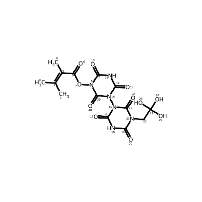 CC(C)=C(C)C(=O)On1c(=O)[nH]c(=O)n(-n2c(=O)[nH]c(=O)n(CC(O)(O)O)c2=O)c1=O